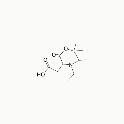 CCN1C(CC(=O)O)C(=O)OC(C)(C)C1C